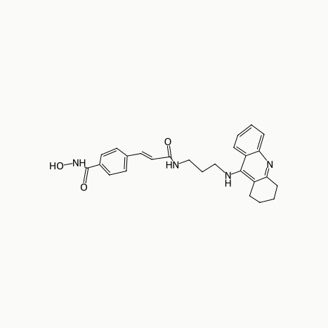 O=C(C=Cc1ccc(C(=O)NO)cc1)NCCCNc1c2c(nc3ccccc13)CCCC2